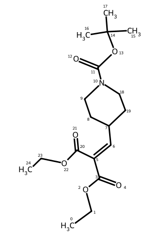 CCOC(=O)C(=CC1CCN(C(=O)OC(C)(C)C)CC1)C(=O)OCC